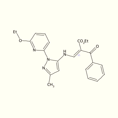 CCOC(=O)/C(=C\Nc1cc(C)nn1-c1cccc(OCC)n1)C(=O)c1ccccc1